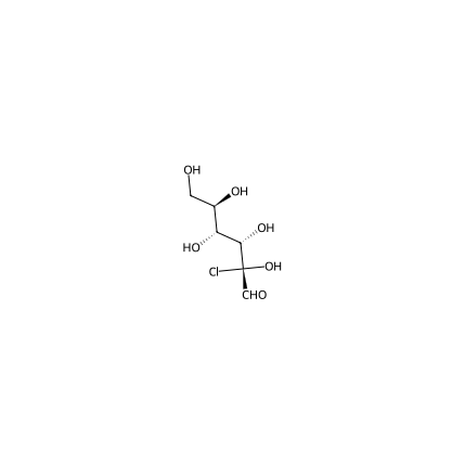 O=C[C@@](O)(Cl)[C@@H](O)[C@H](O)[C@H](O)CO